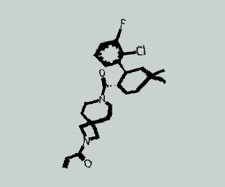 C=CC(=O)N1CC2(CCN(C(=O)[C@H]3CCC(C)(C)C[C@@H]3c3cccc(F)c3Cl)CC2)C1